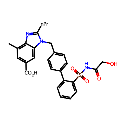 CCCc1nc2c(C)cc(C(=O)O)cc2n1Cc1ccc(-c2ccccc2S(=O)(=O)NC(=O)CO)cc1